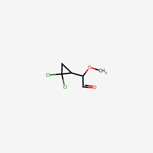 COC([C]=O)C1CC1(Cl)Cl